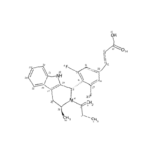 C=C(CC)N1[C@@H](c2c(F)cc(/C=C/C(=O)O)cc2F)c2[nH]c3ccccc3c2C[C@@H]1C